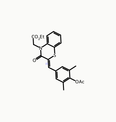 CCOC(=O)CN1C(=O)/C(=C/c2cc(C)c(OC(C)=O)c(C)c2)Sc2ccccc21